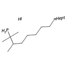 CCCCCCCCCCCCC(C)C(C)(C)P.I